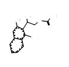 CC(=O)OCC(O)c1c(C)cc2ccccc2c1O